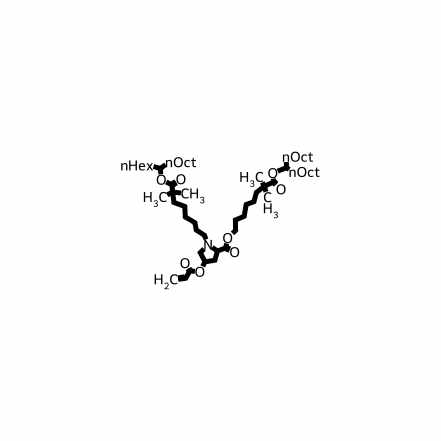 C=CC(=O)OC1CC(C(=O)OCCCCCCC(C)(C)C(=O)OC(CCCCCCCC)CCCCCCCC)N(CCCCCCC(C)(C)C(=O)OC(CCCCCC)CCCCCCCC)C1